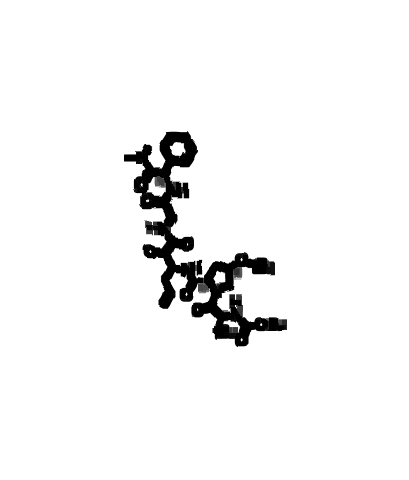 C=CCC(NC(=O)[C@@H]1C[C@@H](OC(C)(C)C)CN1C(=O)[C@@H](NC(=O)OCC(C)C)C(C)(C)C)C(=O)C(=O)NCC(=O)N[C@H](C(=O)N(C)C)c1ccccc1